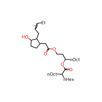 CC/C=C\CC1C(O)CCC1CC(=O)OCCC(CCCCCCCC)OC(=O)C(CCCCCC)CCCCCCCC